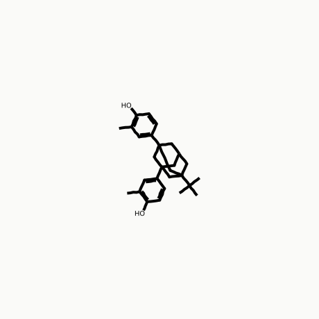 Cc1cc(C23CC4CC(c5ccc(O)c(C)c5)(C2)CC(C(C)(C)C)(C4)C3)ccc1O